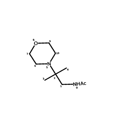 CC(=O)NCC(C)(C)N1CCOCC1